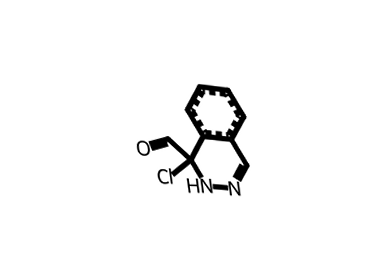 O=CC1(Cl)NN=Cc2ccccc21